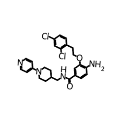 Nc1ccc(C(=O)NCC2CCN(c3ccncc3)CC2)cc1OCCc1ccc(Cl)cc1Cl